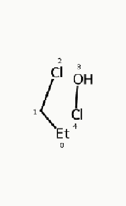 CCCCl.OCl